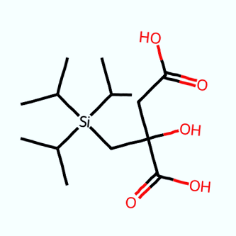 CC(C)[Si](CC(O)(CC(=O)O)C(=O)O)(C(C)C)C(C)C